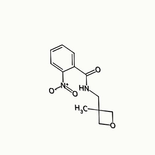 CC1(CNC(=O)c2ccccc2[N+](=O)[O-])COC1